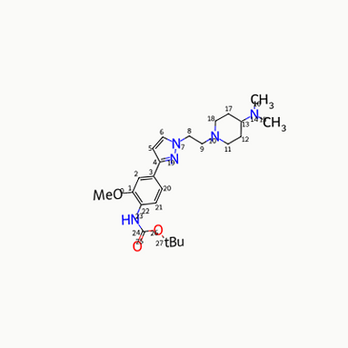 COc1cc(-c2ccn(CCN3CCC(N(C)C)CC3)n2)ccc1NC(=O)OC(C)(C)C